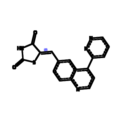 O=C1NC(=O)/C(=C/c2ccc3nccc(-c4cccnn4)c3c2)S1